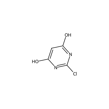 Oc1cc(O)nc(Cl)n1